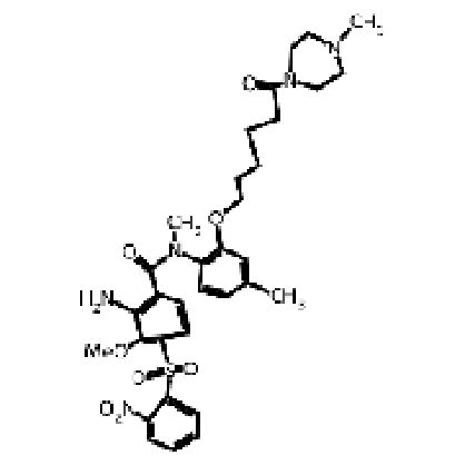 COc1c(S(=O)(=O)c2ccccc2[N+](=O)[O-])ccc(C(=O)N(C)c2ccc(C)cc2OCCCCCC(=O)N2CCN(C)CC2)c1N